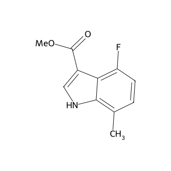 COC(=O)c1c[nH]c2c(C)ccc(F)c12